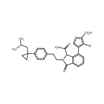 CN(C)CC1(c2ccc(CCN3C(=O)c4cccc(-c5csc(C(=O)O)c5Cl)c4C3C(N)=O)cc2)CC1